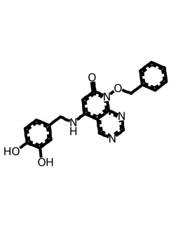 O=c1cc(NCc2ccc(O)c(O)c2)c2cncnc2n1OCc1ccccc1